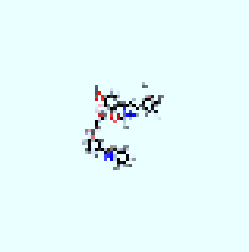 COc1ccc(-c2cc(-c3cc(C)c(C)c(OC)c3)nn2C(C)=O)cc1OCCCOc1cccc(-c2nc3ccccc3s2)c1